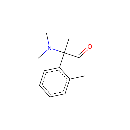 Cc1ccccc1C(C)(C=O)N(C)C